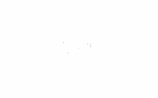 [Al].[Al].[Al].[Nb]